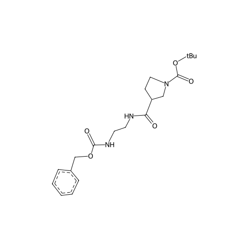 CC(C)(C)OC(=O)N1CCC(C(=O)NCCNC(=O)OCc2ccccc2)C1